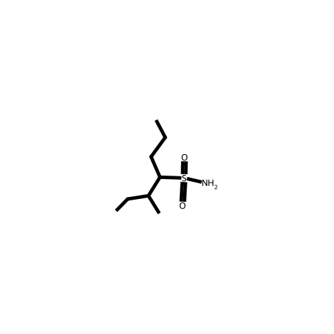 CCCC(C(C)CC)S(N)(=O)=O